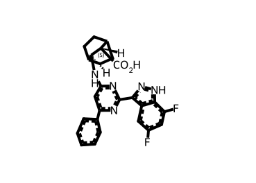 O=C(O)[C@H]1C2CCC(CC2)[C@@H]1Nc1cc(-c2ccccc2)nc(-c2n[nH]c3c(F)cc(F)cc23)n1